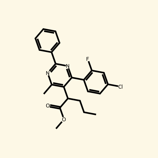 CCCC(C(=O)OC)c1c(C)nc(-c2ccccc2)nc1-c1ccc(Cl)cc1F